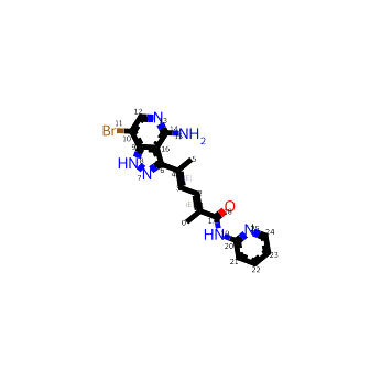 C/C(=C\C=C(/C)c1n[nH]c2c(Br)cnc(N)c12)C(=O)Nc1ccccn1